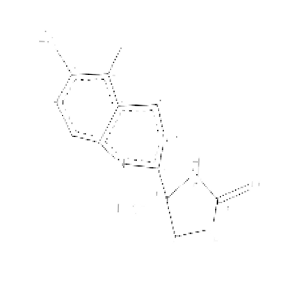 C[C@@]1(c2ncc3c(I)c(O)ccc3n2)COC(=O)N1